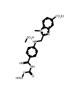 CCCCCCOC(=O)NC(=N)c1ccc(NCc2nc3cc(C(=O)OCC)ccc3n2C)cc1.CS(=O)(=O)O